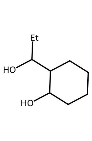 CCC(O)C1CCCCC1O